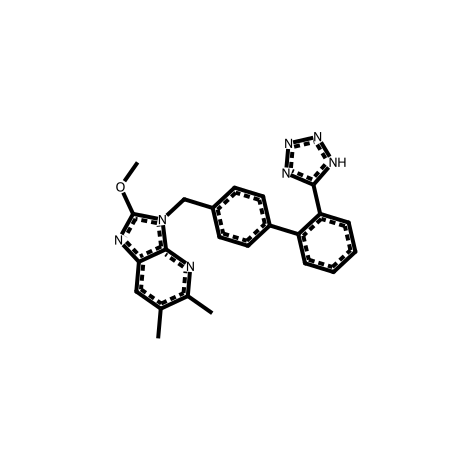 COc1nc2cc(C)c(C)nc2n1Cc1ccc(-c2ccccc2-c2nnn[nH]2)cc1